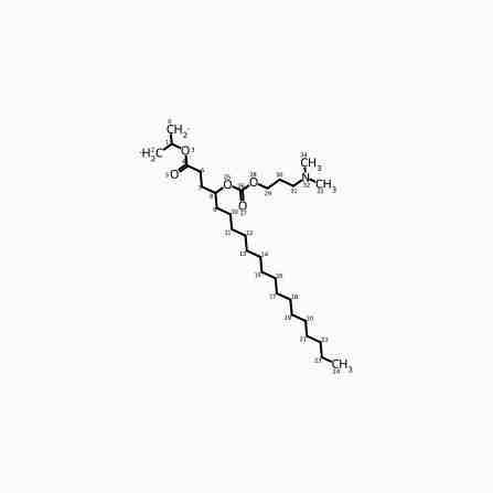 [CH2]C([CH2])OC(=O)CCC(CCCCCCCCCCCCCCCC)OC(=O)OCCCN(C)C